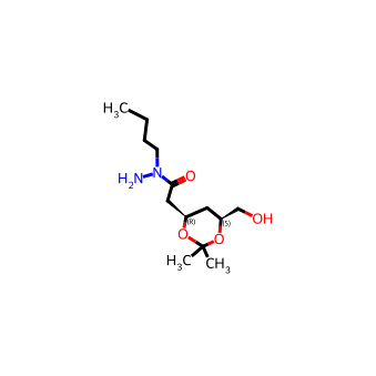 CCCCN(N)C(=O)C[C@H]1C[C@@H](CO)OC(C)(C)O1